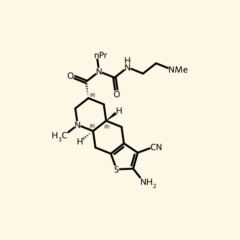 CCCN(C(=O)NCCNC)C(=O)[C@@H]1C[C@@H]2Cc3c(sc(N)c3C#N)C[C@H]2N(C)C1